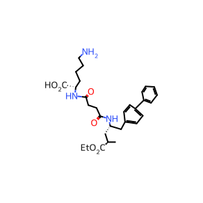 CCOC(=O)[C@H](C)C[C@@H](Cc1ccc(-c2ccccc2)cc1)NC(=O)CCC(=O)N[C@@H](CCCCN)C(=O)O